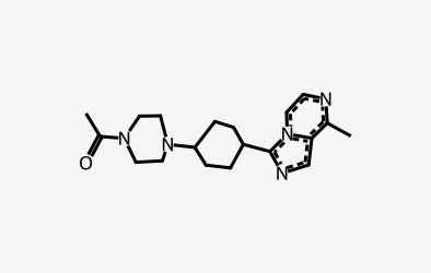 CC(=O)N1CCN(C2CCC(c3ncc4c(C)nccn34)CC2)CC1